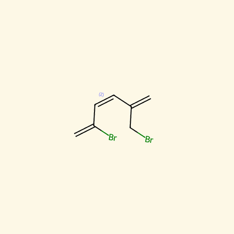 C=C(Br)/C=C\C(=C)CBr